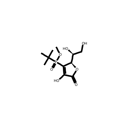 COP(=O)(C1=C(O)C(=O)O[C@@H]1[C@@H](O)CO)C(C)(C)C